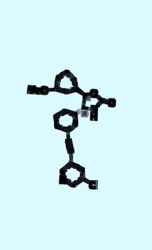 COc1cccc([C@H]2OC(=O)N[C@@H]2c2cccc(C#Cc3cncc(Cl)c3)c2)c1